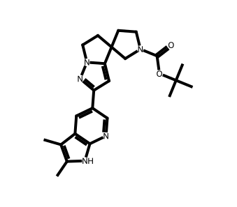 Cc1[nH]c2ncc(-c3cc4n(n3)CCC43CCN(C(=O)OC(C)(C)C)C3)cc2c1C